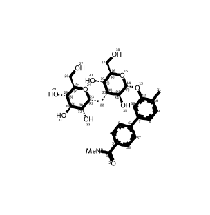 CNC(=O)c1ccc(-c2ccc(C)c(O[C@H]3O[C@H](CO)[C@@H](O)[C@@H](C[C@H]4O[C@H](CO)[C@@H](O)[C@H](O)[C@H]4O)[C@@H]3O)c2)cc1